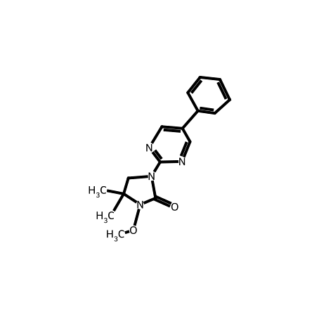 CON1C(=O)N(c2ncc(-c3ccccc3)cn2)CC1(C)C